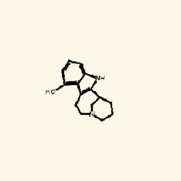 Oc1cccc2[nH]c3c(c12)CCN1CCCC3C1